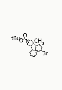 CC(C)(C)OC(=O)N1CC(c2ccccc2)C(C)(c2ccc(Br)cc2)C1